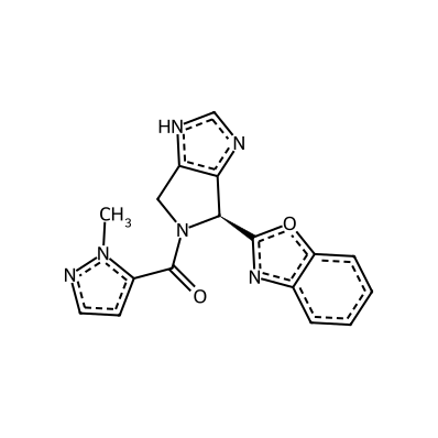 Cn1nccc1C(=O)N1Cc2[nH]cnc2[C@H]1c1nc2ccccc2o1